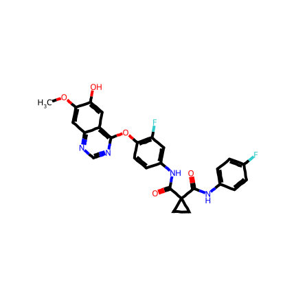 COc1cc2ncnc(Oc3ccc(NC(=O)C4(C(=O)Nc5ccc(F)cc5)CC4)cc3F)c2cc1O